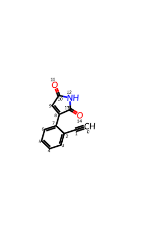 C#Cc1ccccc1C1=CC(=O)NC1=O